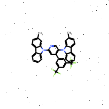 Cc1ccc2c3ccccc3n(-c3cc(-c4cc(C(F)(F)F)cc(C(F)(F)F)c4)c(-n4c5ccccc5c5ccc(C)cc54)cn3)c2c1